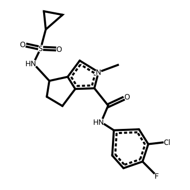 Cn1cc2c(c1C(=O)Nc1ccc(F)c(Cl)c1)CCC2NS(=O)(=O)C1CC1